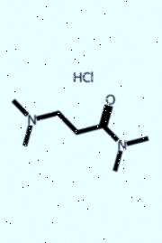 CN(C)CCC(=O)N(C)C.Cl